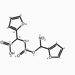 O=[N+](OC(c1ccco1)[N+](=O)[O-])OC(c1ccco1)[N+](=O)O